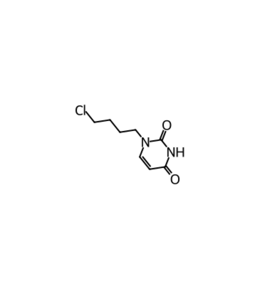 O=c1ccn(CCCCCl)c(=O)[nH]1